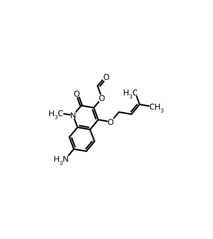 CC(C)=CCOc1c(OC=O)c(=O)n(C)c2cc(N)ccc12